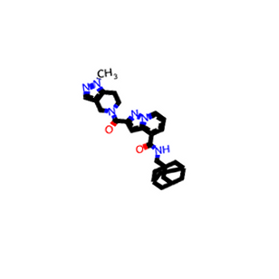 Cn1ncc2c1CCN(C(=O)c1cc3c(C(=O)NCC45CC6CC(CC(C6)C4)C5)cccn3n1)C2